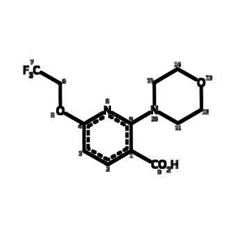 O=C(O)c1ccc(OCC(F)(F)F)nc1N1CCOCC1